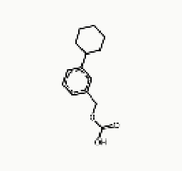 O=C(O)OCc1cccc(C2CCCCC2)c1